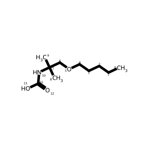 CCCCCOCC(C)(C)NC(=O)O